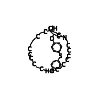 Cl.Oc1ccc(Sc2ccc(OC3CN4CCCCCCCCCCCCCCCCCCCCCC3CC4)cc2)cc1